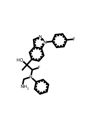 CC(O)(c1ccc2c(cnn2-c2ccc(F)cc2)c1)C(F)N(CN)c1ccccc1